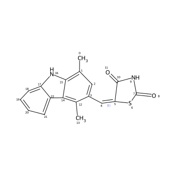 Cc1cc(/C=C2/SC(=O)NC2=O)c(C)c2c1[nH]c1ccccc12